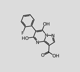 O=C(O)c1cnn2c(O)c(-c3ccccc3F)c(O)nc12